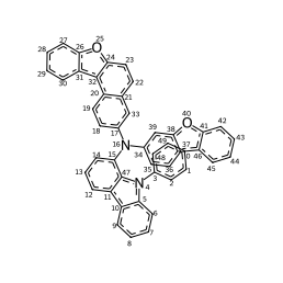 c1ccc(-n2c3ccccc3c3cccc(N(c4ccc5c(ccc6oc7ccccc7c65)c4)c4ccc5c(c4)oc4ccccc45)c32)cc1